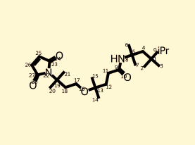 CC(C)C(C)(C)CC(C)(C)NC(=O)CCC(C)(C)OCCC(C)(C)N1C(=O)C=CC1=O